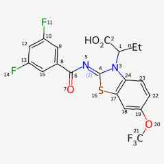 CCC(C(=O)O)n1/c(=N/C(=O)c2cc(F)cc(F)c2)sc2cc(OC(F)(F)F)ccc21